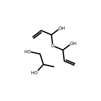 C=CC(O)OC(O)C=C.CC(O)CO